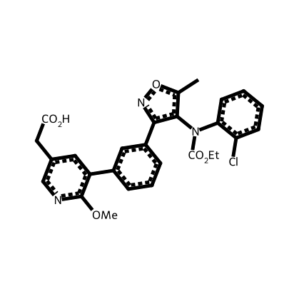 CCOC(=O)N(c1ccccc1Cl)c1c(-c2cccc(-c3cc(CC(=O)O)cnc3OC)c2)noc1C